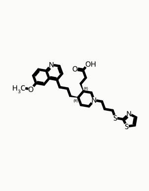 COc1ccc2nccc(CCC[C@@H]3CCN(CCCSc4nccs4)C[C@@H]3CCC(=O)O)c2c1